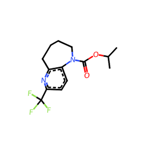 CC(C)OC(=O)N1CCCCc2nc(C(F)(F)F)ccc21